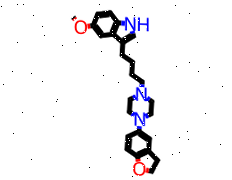 COc1ccc2[nH]cc(CCCCN3CCN(c4ccc5c(c4)CCO5)CC3)c2c1